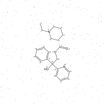 CCN1CCC[C@H](C(=O)OCC(O)(c2ccccc2)c2ccccn2)C1